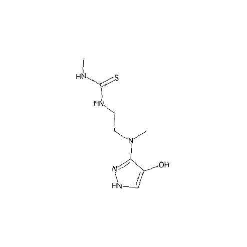 CNC(=S)NCCN(C)c1n[nH]cc1O